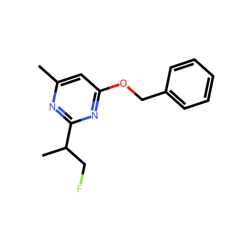 Cc1cc(OCc2ccccc2)nc(C(C)CF)n1